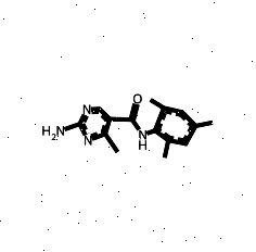 Cc1cc(C)c(NC(=O)c2cnc(N)nc2C)c(C)c1